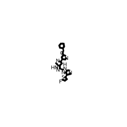 Fc1ccc(-c2cncc3[nH]c(-c4n[nH]c5cnc(-c6cncc(OCc7ccccc7)c6)cc45)nc23)s1